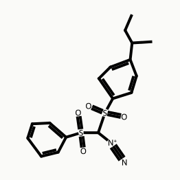 CCC(C)c1ccc(S(=O)(=O)C([N+]#N)S(=O)(=O)c2ccccc2)cc1